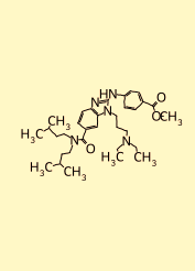 CCN(CC)CCCn1c(Nc2ccc(C(=O)OC)cc2)nc2ccc(C(=O)N(CCC(C)C)CCC(C)C)cc21